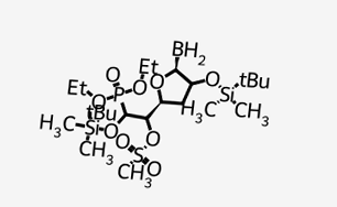 B[C@@H]1O[C@H](C(OS(C)(=O)=O)C(O[Si](C)(C)C(C)(C)C)P(=O)(OCC)OCC)CC1O[Si](C)(C)C(C)(C)C